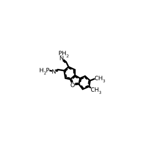 Cc1cc2oc3cc(/C=N/P)c(/C=N/P)cc3c2cc1C